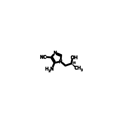 C[C@@H](O)Cn1cnc(C#N)c1N